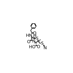 C[C@]1(CSC#N)S[C@@H]2[C@H](NC(=O)Cc3ccccc3)C(=O)N2[C@H]1C(=O)O